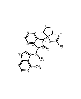 Cc1cccc2[nH]cc(C(C)n3c(=O)n(C4(CC(=O)O)CCCC4)c4ccccc43)c12